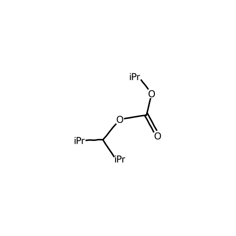 CC(C)OC(=O)OC(C(C)C)C(C)C